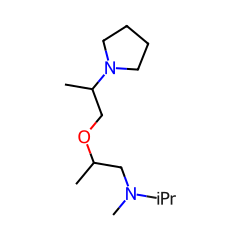 CC(CN(C)C(C)C)OCC(C)N1CCCC1